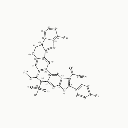 CNC(=O)c1c(-c2ccc(F)cc2)oc2cc(N(CCF)S(C)(=O)=O)c(-c3ncc4c(n3)-c3cc5c(F)cccc5n3CO4)cc12